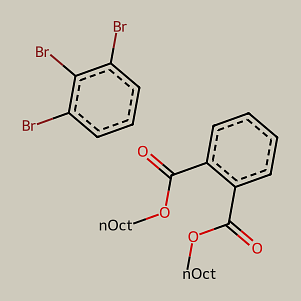 Brc1cccc(Br)c1Br.CCCCCCCCOC(=O)c1ccccc1C(=O)OCCCCCCCC